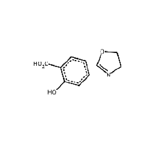 C1=NCCO1.O=C(O)c1ccccc1O